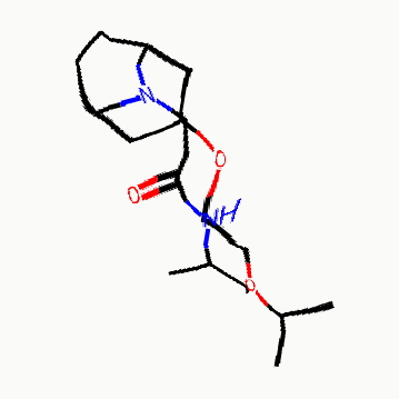 CC(C)NC(=O)CN1C2CCC1CC(OCCOC(C)C)C2